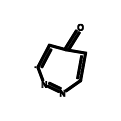 O=c1c[c]nncc1